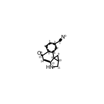 N#Cc1ccc2c(c1)C13CC1CNC3=CC2=O